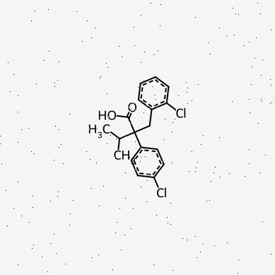 CC(C)C(Cc1ccccc1Cl)(C(=O)O)c1ccc(Cl)cc1